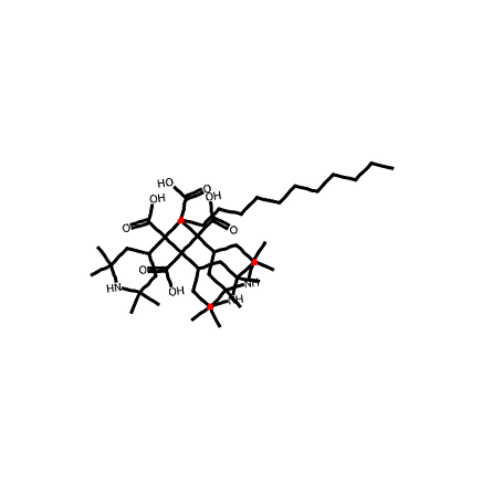 CCCCCCCCCCCCC(C(=O)O)(C1CC(C)(C)NC(C)(C)C1)C(C(=O)O)(C1CC(C)(C)NC(C)(C)C1)C(CC(=O)O)(C(=O)O)C1CC(C)(C)NC(C)(C)C1